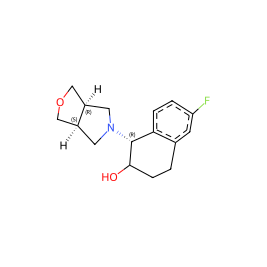 OC1CCc2cc(F)ccc2[C@H]1N1C[C@H]2COC[C@H]2C1